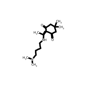 CC(NCCCCN(C)C)=C1C(=O)CC(C)(C)CC1=O